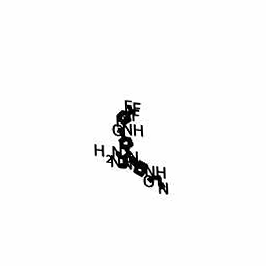 N#CCC(=O)NC12CCC(c3nc(-c4ccc(C(=O)Nc5cc(C(F)(F)F)ccn5)cc4)c4c(N)nccn34)(CC1)C2